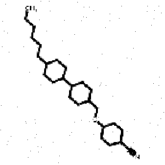 CCCCCCC1CCC(C2CCC(COC3CCC(C#N)CC3)CC2)CC1